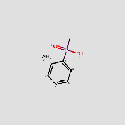 CP(=O)(O)c1ccccc1.[AlH3]